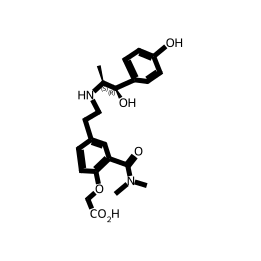 C[C@H](NCCc1ccc(OCC(=O)O)c(C(=O)N(C)C)c1)[C@H](O)c1ccc(O)cc1